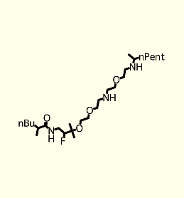 CCCCCC(C)NCCOCCNCCOCCOC(C)(C)C(F)CNC(=O)C(C)CCCC